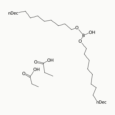 CCC(=O)O.CCC(=O)O.CCCCCCCCCCCCCCCCCCOB(O)OCCCCCCCCCCCCCCCCCC